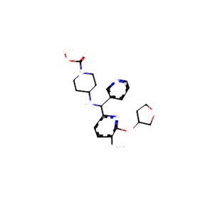 COc1ccc(C(NC2CCN(C(=O)OC(C)(C)C)CC2)c2cccnc2)nc1OC1CCOC1